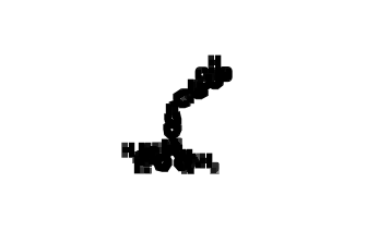 CCC(c1cccc(-c2nc(C3CCC4(CC3)CCN(CC3CCN(c5ccc(C6CCC(=O)NC6=O)cn5)CC3)CC4)sc2-c2ccnc(N)n2)c1F)S(N)(=O)=O